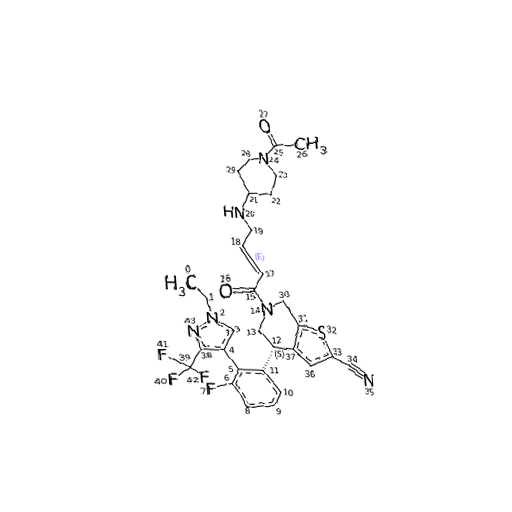 CCn1cc(-c2c(F)cccc2[C@@H]2CN(C(=O)/C=C/CNC3CCN(C(C)=O)CC3)Cc3sc(C#N)cc32)c(C(F)(F)F)n1